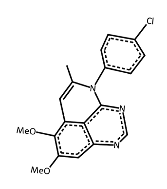 COc1cc2ncnc3c2c(c1OC)C=C(C)N3c1ccc(Cl)cc1